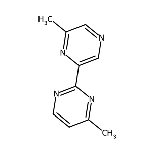 Cc1cncc(-c2nccc(C)n2)n1